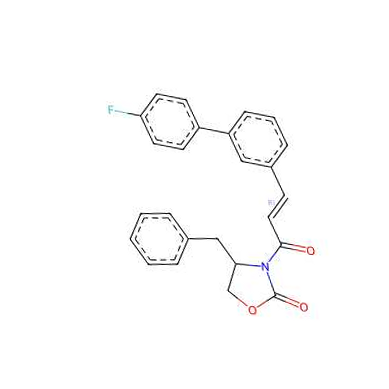 O=C(/C=C/c1cccc(-c2ccc(F)cc2)c1)N1C(=O)OCC1Cc1ccccc1